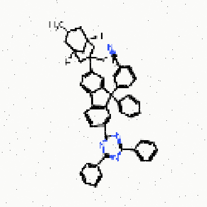 C[C@H]1C[C@@H]2C[C@H](C1)CC(C)(c1ccc3c(c1)C(c1ccccc1)(c1cccc(C#N)c1)c1cc(-c4nc(-c5ccccc5)nc(-c5ccccc5)n4)ccc1-3)C2